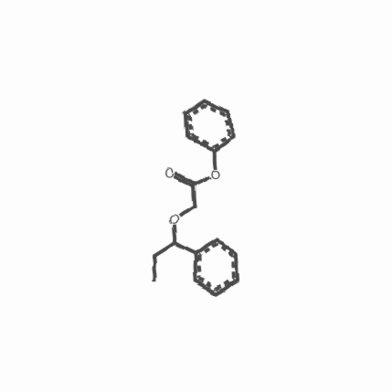 CCC(OCC(=O)Oc1ccccc1)c1ccccc1